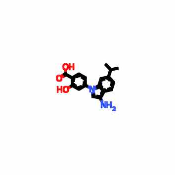 CC(C)c1ccc2c(N)cn(-c3ccc(C(=O)O)c(O)c3)c2c1